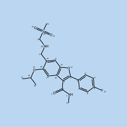 CNC(=O)c1c(-c2ccc(F)cc2)oc2cc(CNCS(C)(=O)=O)c(OC(C)C)cc12